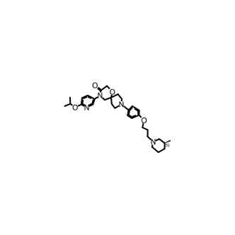 CC(C)Oc1ccc(N2CC3(CCN(c4ccc(OCCCN5CCC[C@H](C)C5)cc4)CC3)OCC2=O)cn1